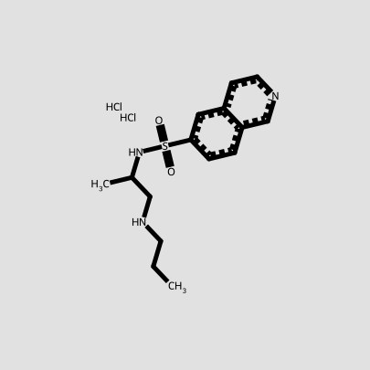 CCCNCC(C)NS(=O)(=O)c1ccc2cnccc2c1.Cl.Cl